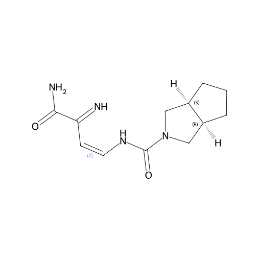 N=C(/C=C\NC(=O)N1C[C@H]2CCC[C@H]2C1)C(N)=O